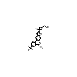 [2H]C1(n2cc3cc(-c4ccc(C(F)(F)F)nc4C(N)=O)ccc3n2)CC(CO)C1